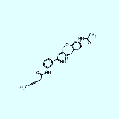 CC#CCC(=O)Nc1cccc(C(=N)/C=C2/COc3cc(NC(C)=O)ccc3CN2)c1